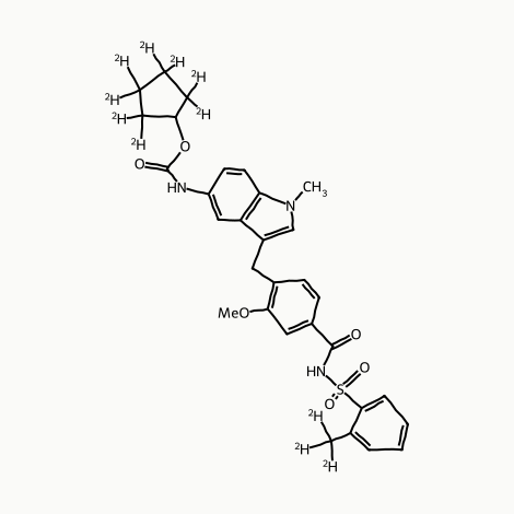 [2H]C([2H])([2H])c1ccccc1S(=O)(=O)NC(=O)c1ccc(Cc2cn(C)c3ccc(NC(=O)OC4C([2H])([2H])C([2H])([2H])C([2H])([2H])C4([2H])[2H])cc23)c(OC)c1